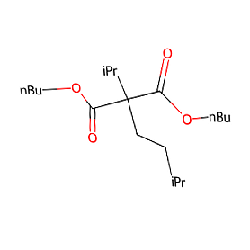 CCCCOC(=O)C(CCC(C)C)(C(=O)OCCCC)C(C)C